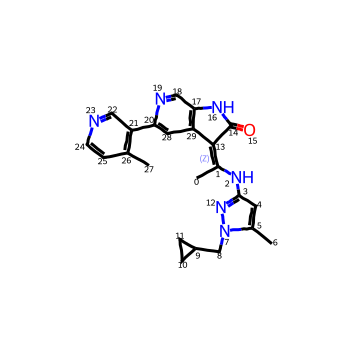 C/C(Nc1cc(C)n(CC2CC2)n1)=C1/C(=O)Nc2cnc(-c3cnccc3C)cc21